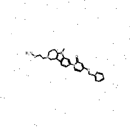 Cn1c2c(c3ccc(-n4ccc(OCc5ccccc5)cc4=O)cc31)CN(CCON)CC2